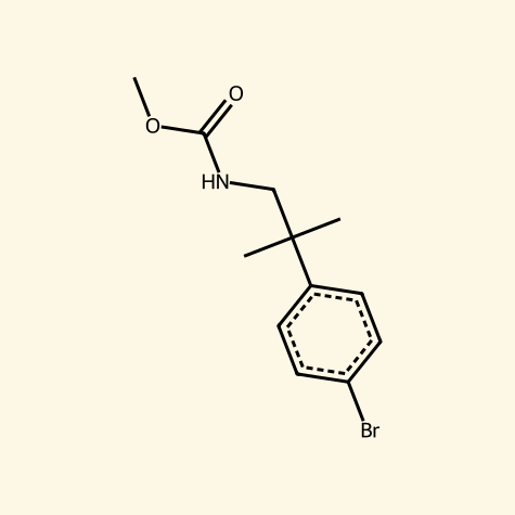 COC(=O)NCC(C)(C)c1ccc(Br)cc1